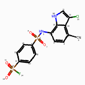 N#Cc1ccc(NS(=O)(=O)c2ccc(S(=O)(=O)F)cc2)c2[nH]cc(Cl)c12